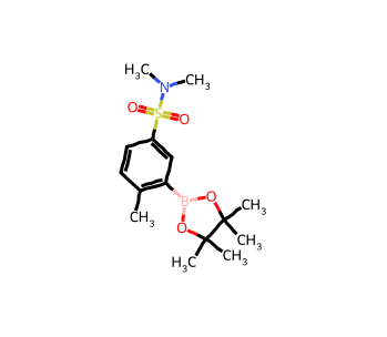 Cc1ccc(S(=O)(=O)N(C)C)cc1B1OC(C)(C)C(C)(C)O1